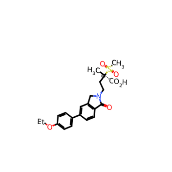 CCOc1ccc(-c2ccc3c(c2)CN(CC[C@](C)(C(=O)O)S(C)(=O)=O)C3=O)cc1